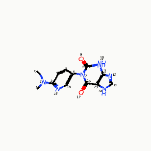 CN(C)c1ccc(-n2c(=O)[nH]c3nc[nH]c3c2=O)cn1